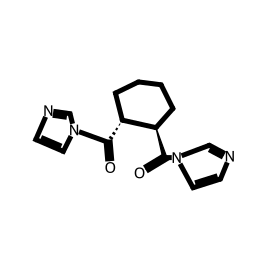 O=C([C@@H]1CCCC[C@H]1C(=O)n1ccnc1)n1ccnc1